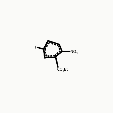 CCOC(=O)c1cc(F)ccc1[N+](=O)[O-]